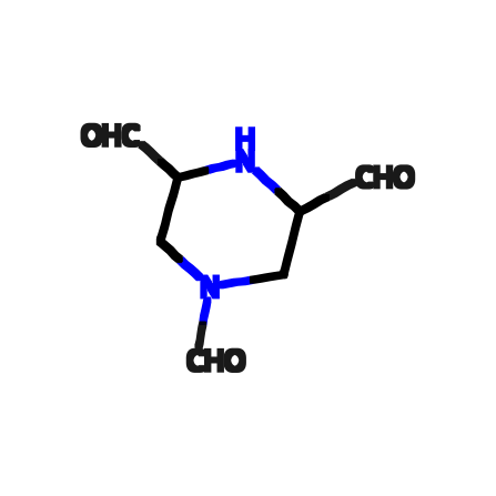 O=CC1CN(C=O)CC(C=O)N1